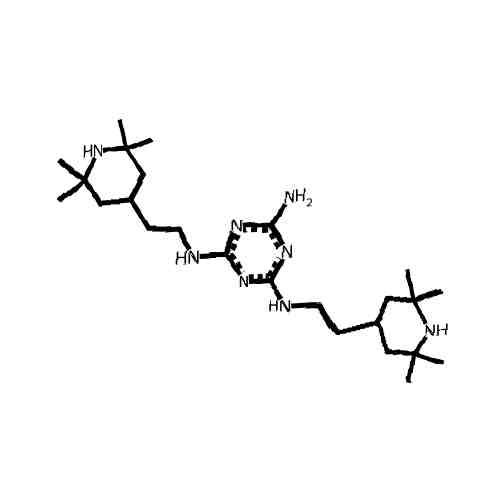 CC1(C)CC(CCNc2nc(N)nc(NCCC3CC(C)(C)NC(C)(C)C3)n2)CC(C)(C)N1